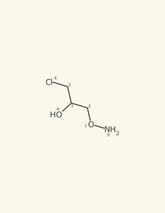 NOCC(O)CCl